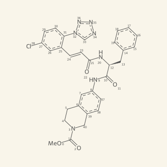 COC(=O)N1CCc2cc(NC(=O)[C@H](Cc3ccccc3)NC(=O)/C=C/c3cc(Cl)ccc3-n3cnnn3)ccc2C1